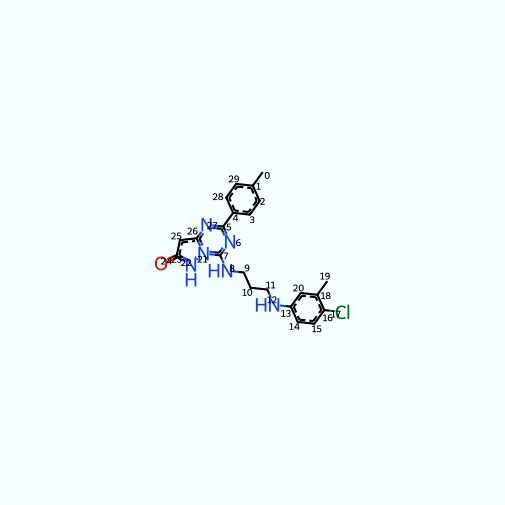 Cc1ccc(-c2nc(NCCCNc3ccc(Cl)c(C)c3)n3[nH]c(=O)cc3n2)cc1